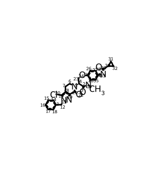 CN1C(=O)[C@@H](N2CCc3c(nn(Cc4ccccc4)c3Cl)C2=O)COc2cc3oc(C4CC4)nc3cc21